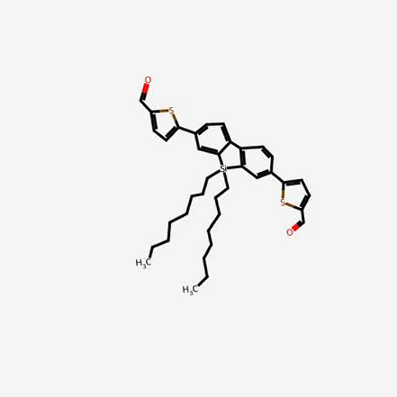 CCCCCCCC[Si]1(CCCCCCCC)c2cc(-c3ccc(C=O)s3)ccc2-c2ccc(-c3ccc(C=O)s3)cc21